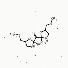 CSCC1CNC(N)(C(=O)C2(N)NCC(CSC)O2)O1